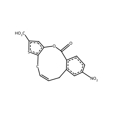 O=C(O)c1cc2c(s1)C/C=C\Cc1cc([N+](=O)[O-])ccc1C(=O)O2